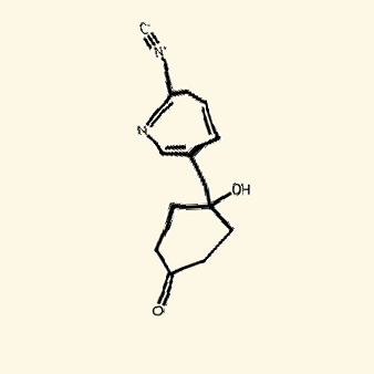 [C-]#[N+]c1ccc(C2(O)CCC(=O)CC2)cn1